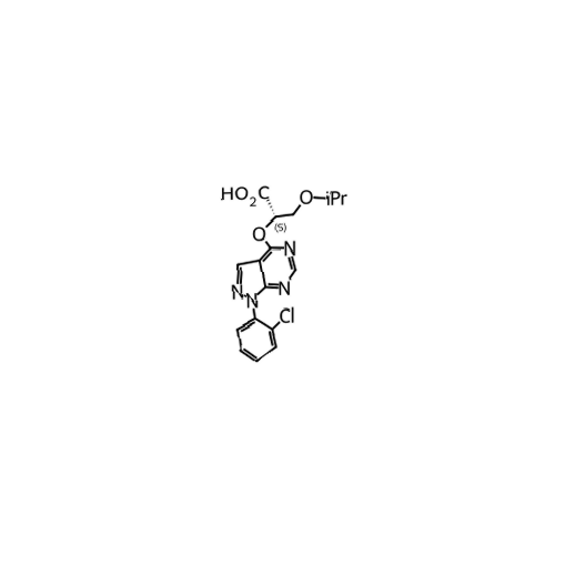 CC(C)OC[C@H](Oc1ncnc2c1cnn2-c1ccccc1Cl)C(=O)O